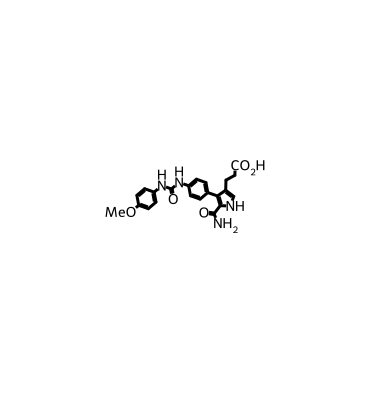 COc1ccc(NC(=O)Nc2ccc(-c3c(CCC(=O)O)c[nH]c3C(N)=O)cc2)cc1